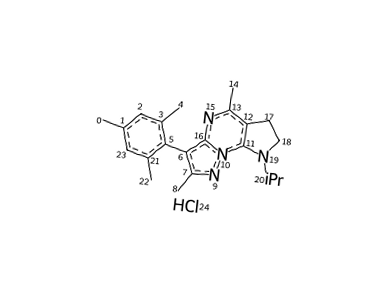 Cc1cc(C)c(-c2c(C)nn3c4c(c(C)nc23)CCN4C(C)C)c(C)c1.Cl